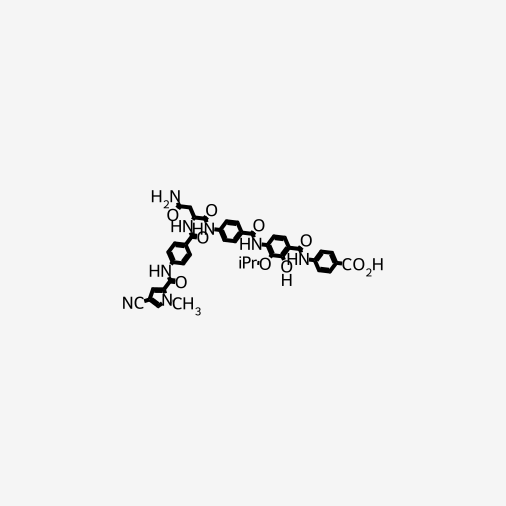 CC(C)Oc1c(NC(=O)c2ccc(NC(=O)C(CC(N)=O)NC(=O)c3ccc(NC(=O)c4cc(C#N)cn4C)cc3)cc2)ccc(C(=O)Nc2ccc(C(=O)O)cc2)c1O